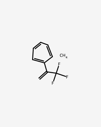 C.C=C(c1ccccc1)C(F)(F)F